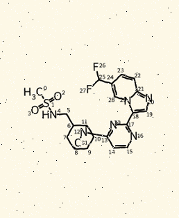 CS(=O)(=O)NCC1CC2CCC1N(c1ccnc(-c3cnc4ccc(C(F)F)cn34)n1)C2